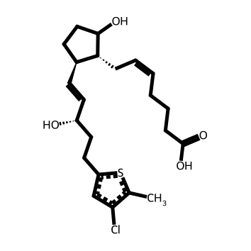 Cc1sc(CC[C@H](O)/C=C/[C@H]2CCC(O)[C@@H]2C/C=C\CCCC(=O)O)cc1Cl